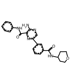 Nc1ncc(-c2cccc(C(=O)NC3CCOCC3)c2)nc1C(=O)Nc1ccccc1